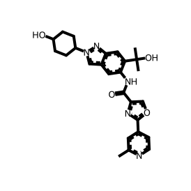 Cc1cc(-c2nc(C(=O)Nc3cc4cn(C5CCC(O)CC5)nc4cc3C(C)(C)O)co2)ccn1